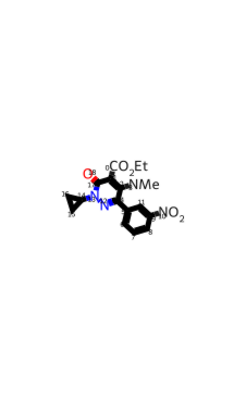 CCOC(=O)c1c(NC)c(-c2cccc([N+](=O)[O-])c2)nn(C2CC2)c1=O